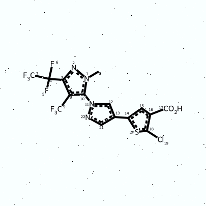 Cn1nc(C(F)(F)C(F)(F)F)c(C(F)(F)F)c1-n1cc(-c2cc(C(=O)O)c(Cl)s2)cn1